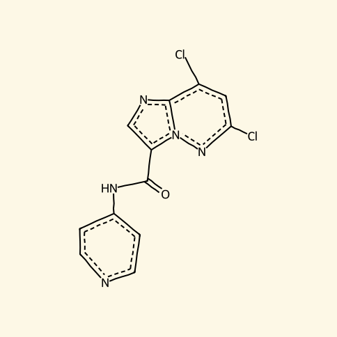 O=C(Nc1ccncc1)c1cnc2c(Cl)cc(Cl)nn12